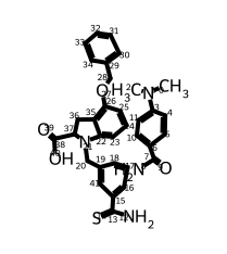 CN(C)c1ccc(C(N)=O)cc1.NC(=S)c1cccc(CN2c3cccc(OCc4ccccc4)c3CC2C(=O)O)c1